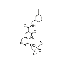 Cn1c(=O)c(C(=O)NCc2cccc(I)c2)cc2cnnc(OCC3(S(=O)(=O)C4CC4)CC3)c21